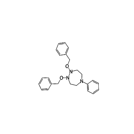 c1ccc(CON2CCN(c3ccccc3)CCN2OCc2ccccc2)cc1